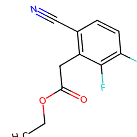 CCOC(=O)Cc1c(C#N)ccc(F)c1F